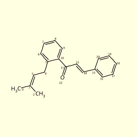 CC(C)=CCc1ccccc1C(=O)C=Cc1ccccc1